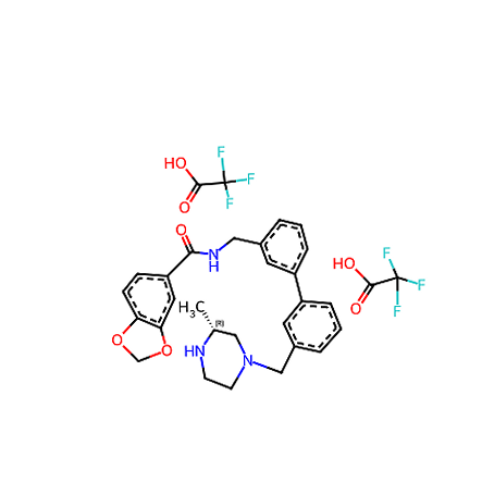 C[C@@H]1CN(Cc2cccc(-c3cccc(CNC(=O)c4ccc5c(c4)OCO5)c3)c2)CCN1.O=C(O)C(F)(F)F.O=C(O)C(F)(F)F